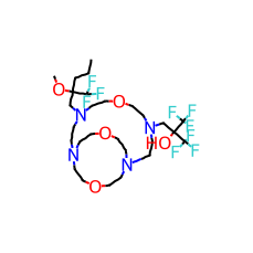 CCCC(CN1CCOCCN(CC(O)(C(F)(F)F)C(F)(F)F)CCN2CCOCCN(CCOCC2)CC1)(OC)C(F)(F)F